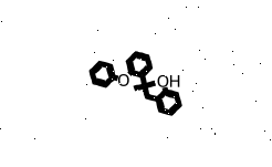 CC(C)(Cc1ccccc1O)c1ccccc1Oc1ccccc1